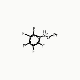 CC(C)O[SiH2]c1c(F)c(F)c(F)c(F)c1F